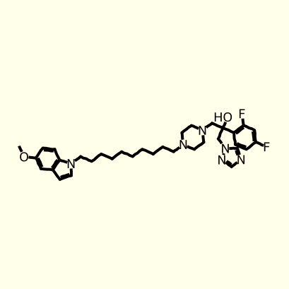 COc1ccc2c(ccn2CCCCCCCCCCN2CCN(CC(O)(Cn3cncn3)c3ccc(F)cc3F)CC2)c1